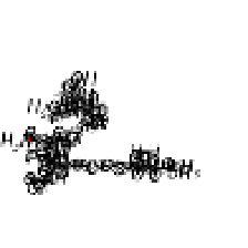 CC[C@@]1(OC(=O)OCc2ccc(NC(=O)[C@H](CCCNC(N)=O)NC(=O)[C@@H](NC(=O)[C@H](CC(=O)N[C@H]3CCOC(=O)C3)NC(=O)CCOCCOCCOCCOCCNC(=O)[C@H](CNC(=O)CCP(C)(=O)O)N3C(=O)C=CC3=O)C(C)C)cc2)C(=O)OCc2c1cc1n(c2=O)Cc2c-1nc1cc(F)c(C)c3c1c2[C@@H](NC(=O)CO)CC3